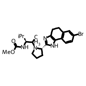 COC(=O)N[C@@H](C(C)C)C(C)N1CCC[C@H]1c1nc2c([nH]1)-c1ccc(Br)cc1CC2